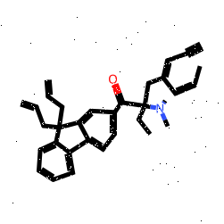 C#C/C=C(\C=C/C)CC(CC)(C(=O)c1ccc2c(c1)C(CC=C)(CC=C)c1ccccc1-2)N(C)C